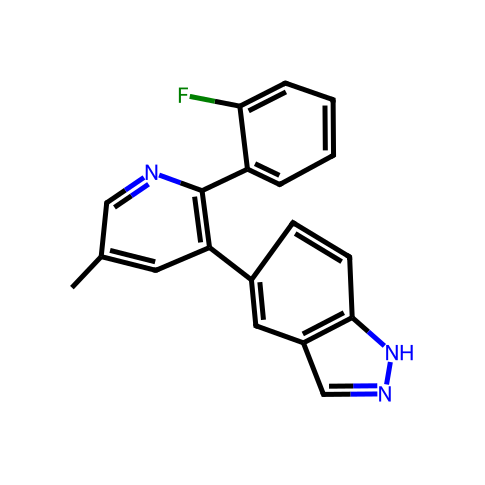 Cc1cnc(-c2ccccc2F)c(-c2ccc3[nH]ncc3c2)c1